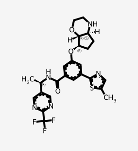 Cc1cnc(-c2cc(O[C@@H]3CC[C@@H]4NCCO[C@H]43)cc(C(=O)N[C@H](C)c3cnc(C(F)(F)F)nc3)c2)s1